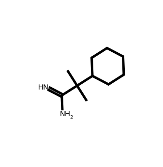 CC(C)(C(=N)N)C1CCCCC1